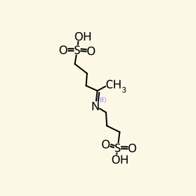 C/C(CCCS(=O)(=O)O)=N\CCCS(=O)(=O)O